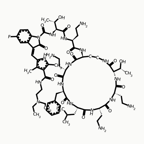 CCN(CC)CCNC(=O)c1c(C)[nH]c(/C=C2\C(=O)N(C(=O)N[C@H](C(=O)N[C@@H](CCN)C(=O)N[C@H]3CCNC(=O)[C@H]([C@@H](C)O)NC(=O)[C@H](CCN)NC(=O)[C@H](CCN)NC(=O)[C@H](CC(C)C)NC(=O)[C@@H](Cc4ccccc4)NC(=O)[C@H](CCN)NC3=O)[C@H](C)O)c3ccc(F)cc32)c1C